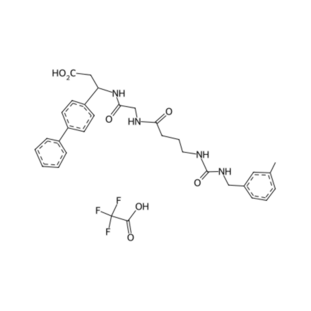 Cc1cccc(CNC(=O)NCCCC(=O)NCC(=O)NC(CC(=O)O)c2ccc(-c3ccccc3)cc2)c1.O=C(O)C(F)(F)F